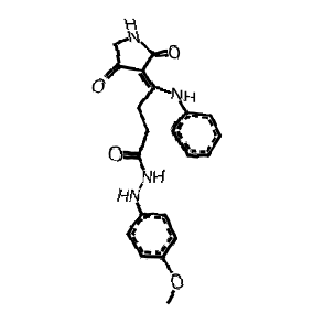 COc1ccc(NNC(=O)CCC(Nc2ccccc2)=C2C(=O)CNC2=O)cc1